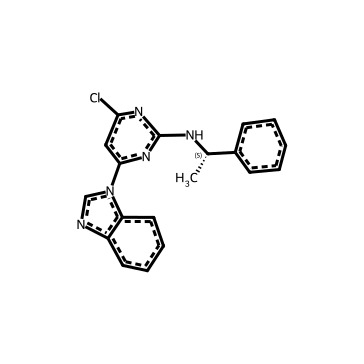 C[C@H](Nc1nc(Cl)cc(-n2cnc3ccccc32)n1)c1ccccc1